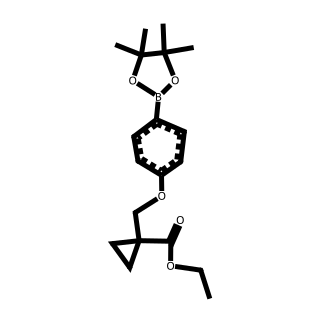 CCOC(=O)C1(COc2ccc(B3OC(C)(C)C(C)(C)O3)cc2)CC1